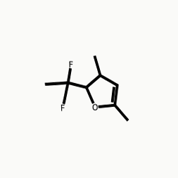 CC1=CC(C)C(C(C)(F)F)O1